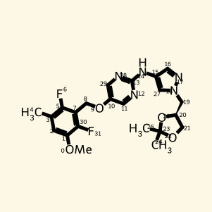 COc1cc(C)c(F)c(COc2cnc(Nc3cnn(C[C@H]4COC(C)(C)O4)c3)nc2)c1F